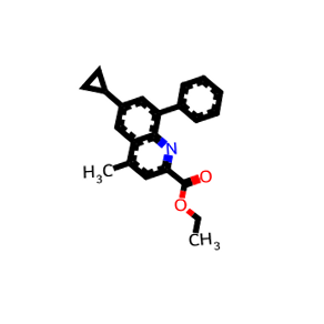 CCOC(=O)c1cc(C)c2cc(C3CC3)cc(-c3ccccc3)c2n1